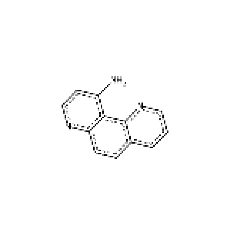 Nc1ccnc2ccc3cccnc3c12